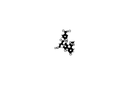 O=NC(=O)c1ccc(NC(=O)C(CCO)n2cc(O)c(-c3cc(Cl)ccc3-c3cocn3)cc2=O)cc1